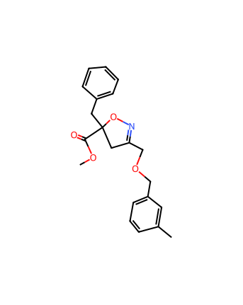 COC(=O)C1(Cc2ccccc2)CC(COCc2cccc(C)c2)=NO1